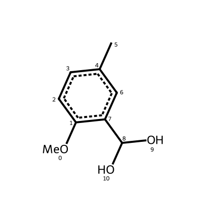 COc1ccc(C)cc1C(O)O